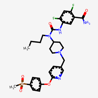 CCCCN(C(=O)Nc1cc(C(N)=O)c(F)cc1F)C1CCN(Cc2ccc(Oc3ccc(S(C)(=O)=O)cc3)nc2)CC1